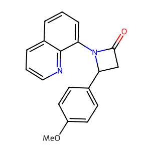 COc1ccc(C2CC(=O)N2c2cccc3cccnc23)cc1